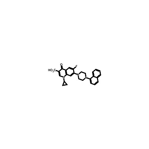 O=C(O)c1cn(C2CC2)c2cc(N3CCN(c4cccc5ccccc45)CC3)c(F)cc2c1=O